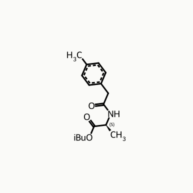 Cc1ccc(CC(=O)N[C@@H](C)C(=O)OCC(C)C)cc1